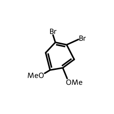 COc1cc(Br)c(Br)cc1OC